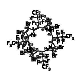 FC(F)(F)C(F)(F)C(F)(F)c1c2nc(c(C(F)(F)C(F)(F)C(F)(F)F)c3[nH]c(c(Br)c3Br)c(C(F)(F)C(F)(F)C(F)(F)F)c3nc(c(C(F)(F)C(F)(F)C(F)(F)F)c4[nH]c1c(Br)c4Br)C(Br)=C3Br)C(Br)=C2Br